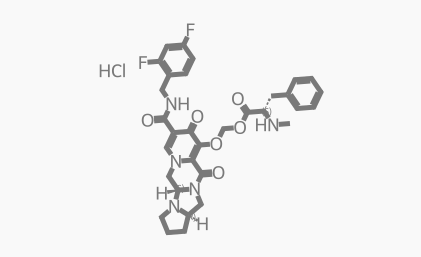 CN[C@@H](Cc1ccccc1)C(=O)OCOc1c2n(cc(C(=O)NCc3ccc(F)cc3F)c1=O)C[C@@H]1N(C[C@H]3CCCN31)C2=O.Cl